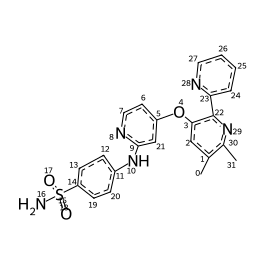 Cc1cc(Oc2ccnc(Nc3ccc(S(N)(=O)=O)cc3)c2)c(-c2ccccn2)nc1C